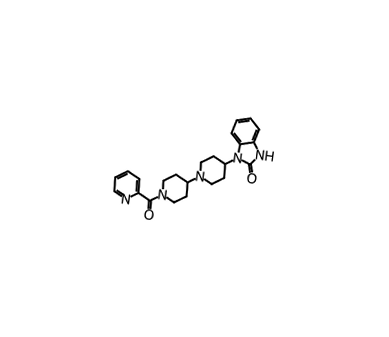 O=C(c1ccccn1)N1CCC(N2CCC(n3c(=O)[nH]c4ccccc43)CC2)CC1